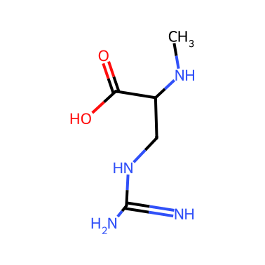 CNC(CNC(=N)N)C(=O)O